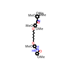 COc1ccc2c(c1)C(=O)NC(c1ccc(OCCCCCCCCCOc3c(OC)cc(-c4cc(-c5cc(OC)c(OC)c(OC)c5)no4)cc3OC)c(OC)c1)N2